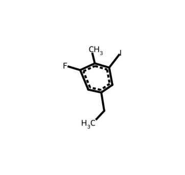 CCc1cc(F)c(C)c(I)c1